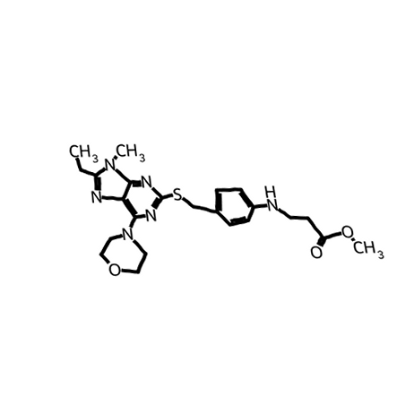 CCc1nc2c(N3CCOCC3)nc(SCc3ccc(NCCC(=O)OC)cc3)nc2n1C